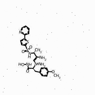 COc1ccc(C[C@@H](C(=O)NO)N(N)/C=C(\N)[C@@H](C)NS(=O)(=O)c2ccc(-c3ccccn3)s2)cc1